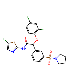 O=C(Nc1ncc(F)s1)C(Oc1ccc(F)cc1F)c1cccc(S(=O)(=O)N2CCCC2)c1